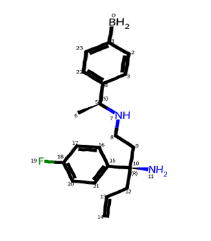 Bc1ccc([C@H](C)NCC[C@](N)(CC=C)c2ccc(F)cc2)cc1